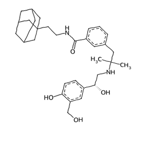 CC(C)(Cc1cccc(C(=O)NCCC23CC4CC(CC(C4)C2)C3)c1)NC[C@H](O)c1ccc(O)c(CO)c1